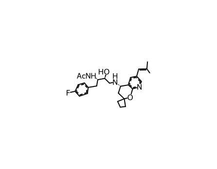 CC(=O)N[C@@H](Cc1ccc(F)cc1)[C@@H](O)CN[C@H]1CC2(CCC2)Oc2ncc(C=C(C)C)cc21